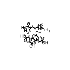 N=C(N)NCCCC(N)C(=O)O.O=C(O)CN(CCN(CC(=O)O)CC(=O)O)CC(=O)O